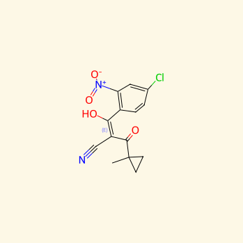 CC1(C(=O)/C(C#N)=C(/O)c2ccc(Cl)cc2[N+](=O)[O-])CC1